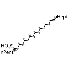 CCCCCCCC=CCCCCCCCCCCCCCC(CCCCC)C(=O)O